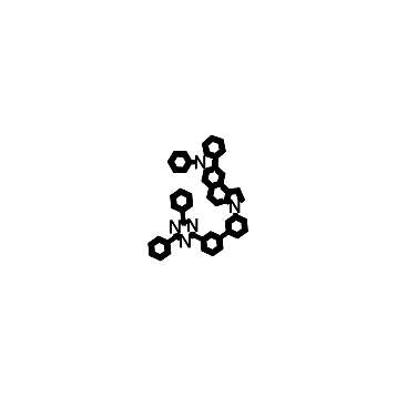 c1ccc(-c2nc(-c3ccccc3)nc(-c3cccc(-c4cccc(-n5ccc6c7cc8c9ccccc9n(-c9ccccc9)c8cc7ccc65)c4)c3)n2)cc1